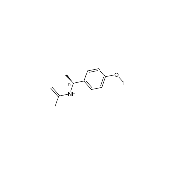 C=C(C)N[C@@H](C)c1ccc(OI)cc1